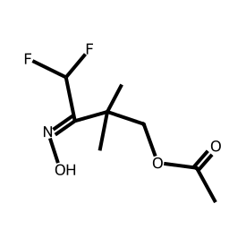 CC(=O)OCC(C)(C)/C(=N\O)C(F)F